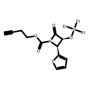 C#CCCOC(=O)N1C(=O)[C@@H](O[Si](CC)(CC)CC)[C@H]1c1cccs1